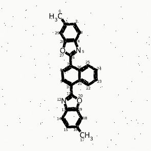 Cc1ccc2nc(-c3ccc(-c4nc5ccc(C)cc5o4)c4ccccc34)oc2c1